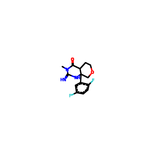 CN1C(=N)NC2(c3cc(F)ccc3F)COCCC2C1=O